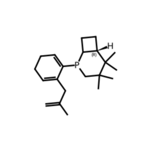 C=C(C)CC1=CCCC=C1P1CC(C)(C)C(C)(C)[C@H]2CCC21